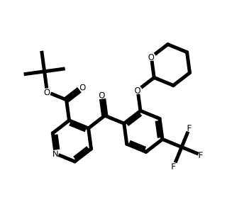 CC(C)(C)OC(=O)c1cnccc1C(=O)c1ccc(C(F)(F)F)cc1OC1CCCCO1